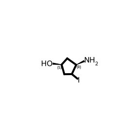 N[C@@H]1C[C@H](O)CC1I